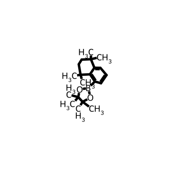 CC1(C)CCC(C)(C)c2c(B3OC(C)(C)C(C)(C)O3)cccc21